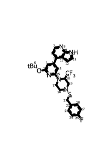 CC(C)(C)Oc1cc(-c2ccnc3[nH]ccc23)cc(N2CCN(SCc3ccc(F)cc3)CC2C(F)(F)F)n1